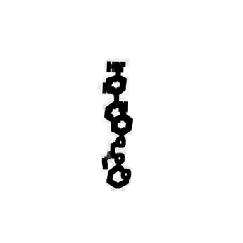 CC[C@H](COc1ccc2nc(-c3ccc(NC)cn3)ccc2c1)OC1CCCCO1